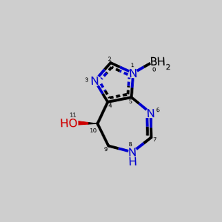 Bn1cnc2c1N=CNC[C@H]2O